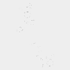 CC(C(=O)c1cccc(Cl)c1)N(C(=O)OCOC(=O)CCCCCOC(=O)c1cc(S(N)(=O)=O)c(Cl)cc1NCc1ccco1)C(C)(C)C